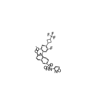 COc1cc(C2CC(C(F)(F)F)C2)c(F)cc1-n1c(=O)ccc2cc(S(=O)(=O)Nc3ccon3)ccc21